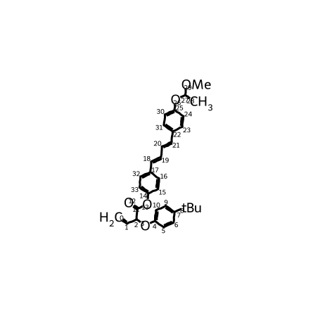 C=CC(Oc1ccc(C(C)(C)C)cc1)C(=O)Oc1ccc(C=CC=Cc2ccc(OC(C)OC)cc2)cc1